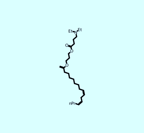 C=C(CCCCCCC/C=C\C/C=C\CCC)OCCCOC(=O)CCCN(CC)CC